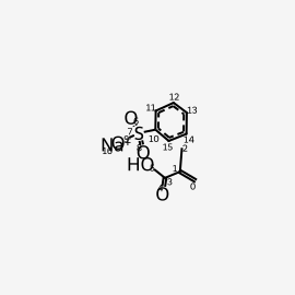 C=C(C)C(=O)O.O=S(=O)([O-])c1ccccc1.[Na+]